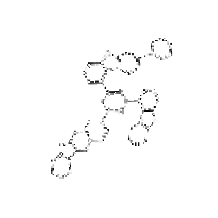 c1ccc(-c2ccc3c(c2)oc2cccc(-c4nc(-c5ccc6cc7c(cc6c5)oc5ccccc57)nc(-c5cccc6oc7ccccc7c56)n4)c23)cc1